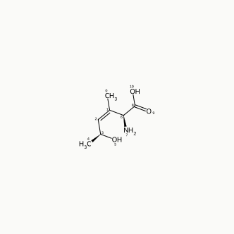 CC(=C[C@H](C)O)[C@H](N)C(=O)O